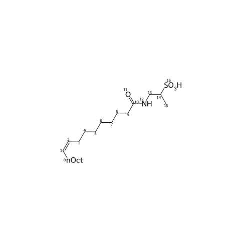 CCCCCCCC/C=C\CCCCCCCC(=O)NCC(C)S(=O)(=O)O